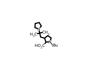 CC(C)(C)N1CCC(CC(C)(C)N2CCCC2)C1C(=O)O